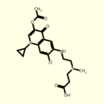 CC(=O)Oc1cn(C2CC2)c2cc(Cl)c(NCCN(C)CCC(=O)O)cc2c1=O